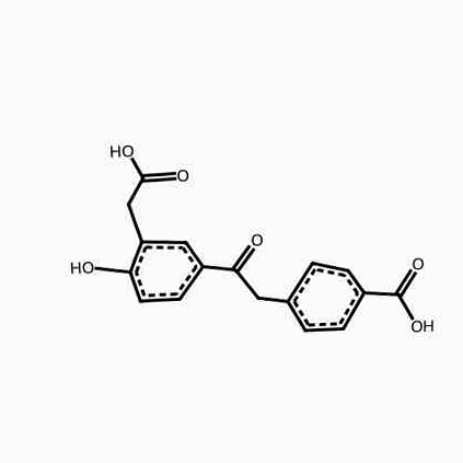 O=C(O)Cc1cc(C(=O)Cc2ccc(C(=O)O)cc2)ccc1O